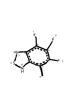 Cc1c(F)c(F)c(F)c2c1NSN2